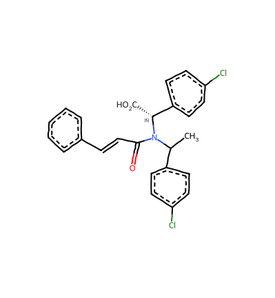 CC(c1ccc(Cl)cc1)N(C(=O)C=Cc1ccccc1)[C@H](C(=O)O)c1ccc(Cl)cc1